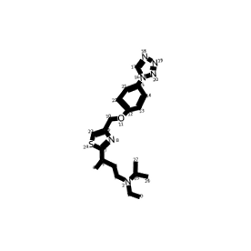 CCN(CCC(C)c1nc(COc2ccc(-n3cnnn3)cc2)cs1)C(C)C